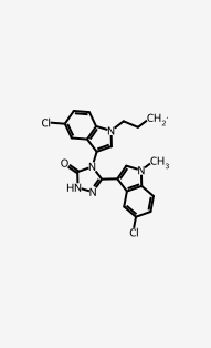 [CH2]CCn1cc(-n2c(-c3cn(C)c4ccc(Cl)cc34)n[nH]c2=O)c2cc(Cl)ccc21